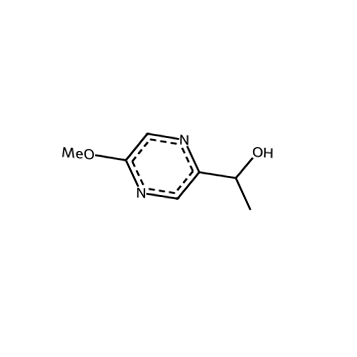 COc1cnc(C(C)O)cn1